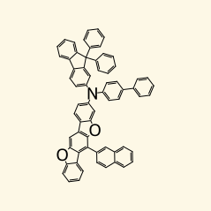 c1ccc(-c2ccc(N(c3ccc4c(c3)C(c3ccccc3)(c3ccccc3)c3ccccc3-4)c3ccc4c(c3)oc3c(-c5ccc6ccccc6c5)c5c(cc34)oc3ccccc35)cc2)cc1